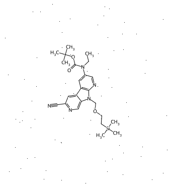 CCN(C(=O)OC(C)(C)C)c1cnc2c(c1)c1cc(C#N)ncc1n2COCC[Si](C)(C)C